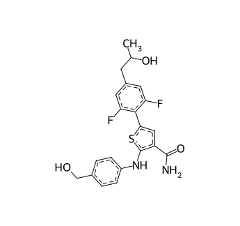 CC(O)Cc1cc(F)c(-c2cc(C(N)=O)c(Nc3ccc(CO)cc3)s2)c(F)c1